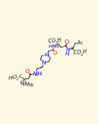 CN[C@@H](CC(=O)NCCN1CCN(CC(=O)N[C@@H](CC(=O)N[C@@H](CC(C)=O)C(=O)O)C(=O)O)CC1)C(=O)O